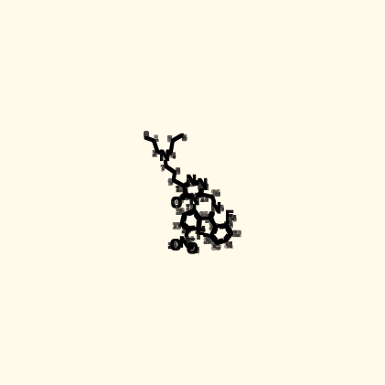 CCCN(CCC)CCCc1nnc2n(c1=O)-c1ccc([N+](=O)[O-])cc1C(c1c(F)cccc1F)=NC2